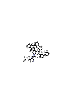 C\C=C/C(=C\C(C)=N\c1c(-c2ccc(C3=C(SBc4cccc5c4Cc4ccccc4-5)C=CCC3)c(C)c2)ccc(-c2cccc(-c3ccccc3C)c2C)c1C)C(C)(C)CCC(C)(C)C